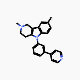 Cc1ccc2c(c1)c1c(n2-c2cccc(-c3ccncc3)c2)CCN(C)C1